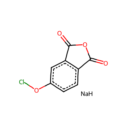 O=C1OC(=O)c2cc(OCl)ccc21.[NaH]